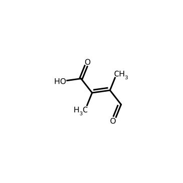 CC(C=O)=C(C)C(=O)O